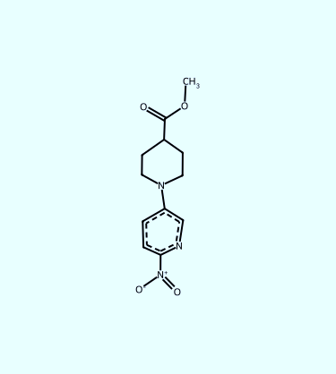 COC(=O)C1CCN(c2ccc([N+](=O)[O-])nc2)CC1